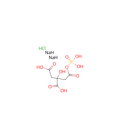 Cl.O=C(O)CC(O)(CC(=O)OP(=O)(O)O)C(=O)O.[NaH].[NaH]